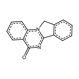 O=c1nc2n(c3ccccc13)Cc1ccccc1-2